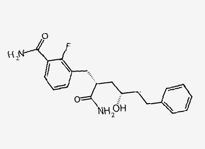 NC(=O)c1cccc(C[C@H](C[C@@H](O)[CH]Cc2ccccc2)C(N)=O)c1F